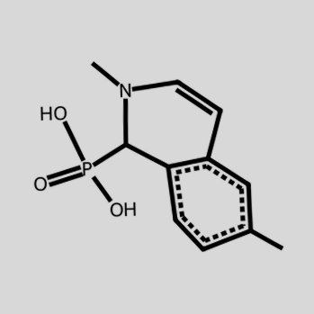 Cc1ccc2c(c1)C=CN(C)C2P(=O)(O)O